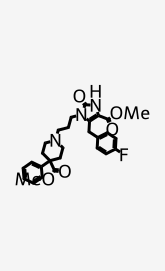 COC(=O)c1[nH]c(=O)n(CCCN2CCC(C(=O)OC)(c3ccccc3)CC2)c1Cc1ccc(F)cc1